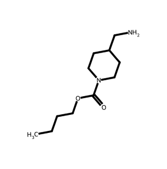 CCCCOC(=O)N1CCC(CN)CC1